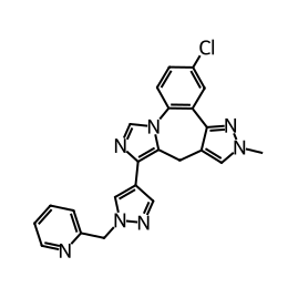 Cn1cc2c(n1)-c1cc(Cl)ccc1-n1cnc(-c3cnn(Cc4ccccn4)c3)c1C2